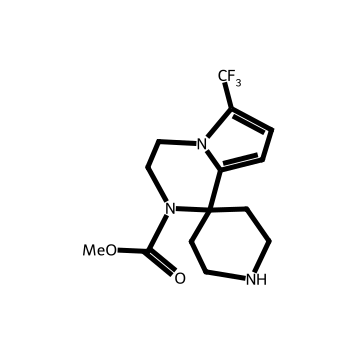 COC(=O)N1CCn2c(C(F)(F)F)ccc2C12CCNCC2